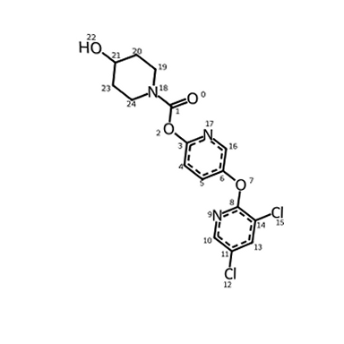 O=C(Oc1ccc(Oc2ncc(Cl)cc2Cl)cn1)N1CCC(O)CC1